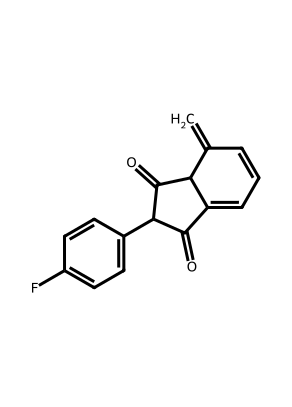 C=C1C=CC=C2C(=O)C(c3ccc(F)cc3)C(=O)C12